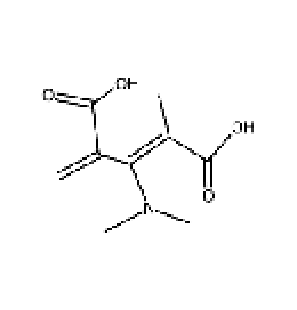 C=C(C(=O)O)C(=C(C)C(=O)O)N(C)C